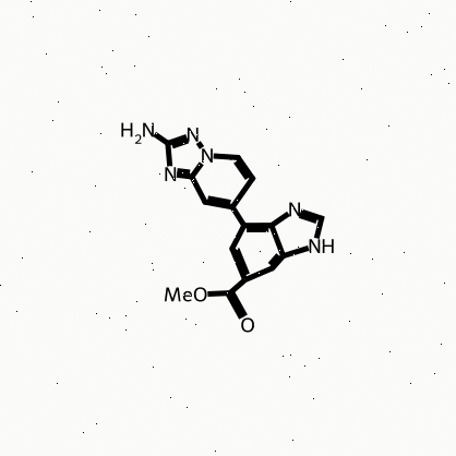 COC(=O)c1cc(-c2ccn3nc(N)nc3c2)c2nc[nH]c2c1